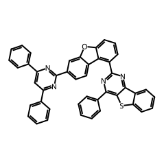 c1ccc(-c2cc(-c3ccccc3)nc(-c3ccc4c(c3)oc3cccc(-c5nc(-c6ccccc6)c6sc7ccccc7c6n5)c34)n2)cc1